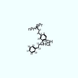 CCCN(CCC)CCc1ccc(O)c(OCCc2ccccc2)c1.Cl